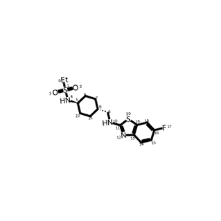 CCS(=O)(=O)N[C@H]1CC[C@H](CNc2nc3ccc(F)cc3s2)CC1